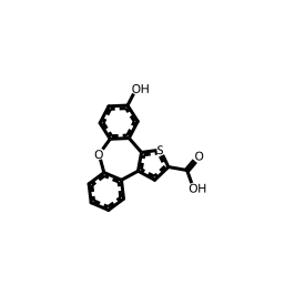 O=C(O)c1cc2c(s1)-c1cc(O)ccc1Oc1ccccc1-2